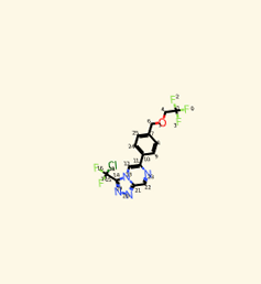 FC(F)(F)COCc1ccc(-c2cn3c(C(F)(F)Cl)nnc3cn2)cc1